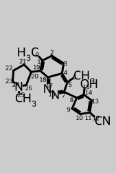 Cc1ccc2c(C)c(-c3ccc(C#N)cc3O)nnc2c1C1CCCN(C)C1